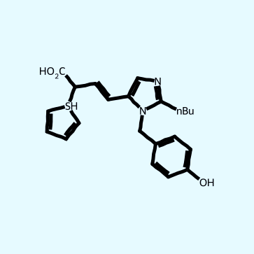 CCCCc1ncc(/C=C/C(C(=O)O)[SH]2C=CC=C2)n1Cc1ccc(O)cc1